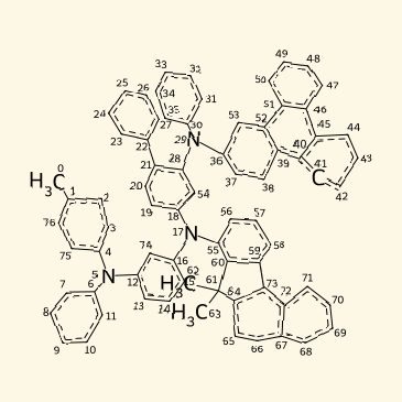 Cc1ccc(N(c2ccccc2)c2cccc(N(c3ccc(-c4ccccc4)c(N(c4ccccc4)c4ccc5c6ccccc6c6ccccc6c5c4)c3)c3cccc4c3C(C)(C)c3ccc5ccccc5c3-4)c2)cc1